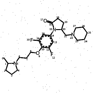 CC1CCCN1CCCOc1c(F)cc(N2C(=O)CCC2CN2CCCCC2)cc1F